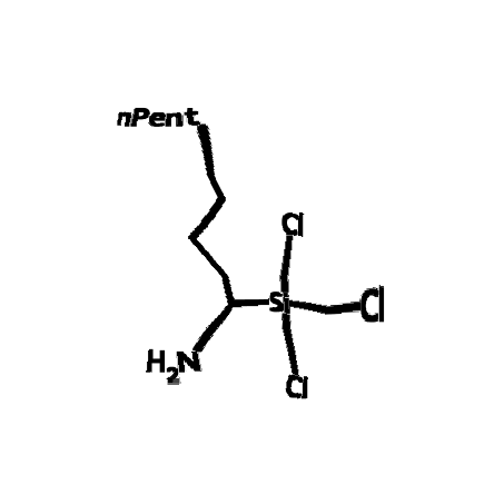 CCCCCCCC(N)[Si](Cl)(Cl)Cl